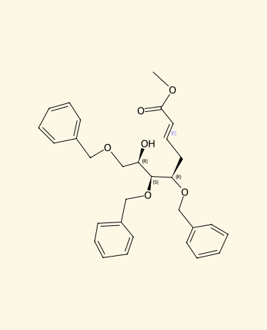 COC(=O)/C=C/C[C@@H](OCc1ccccc1)[C@@H](OCc1ccccc1)[C@H](O)COCc1ccccc1